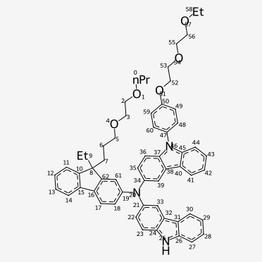 CCCOCCOCCCC1(CC)c2ccccc2-c2ccc(N(c3ccc4[nH]c5ccccc5c4c3)c3ccc4c(c3)c3ccccc3n4-c3ccc(OCCOCCOCC)cc3)cc21